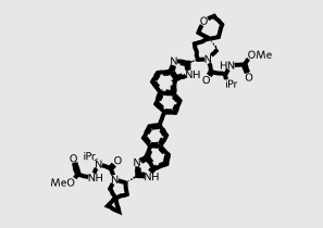 COC(=O)NC(C(=O)N1C[C@]2(CCCOC2)C[C@H]1c1nc2ccc3cc(-c4ccc5c(ccc6[nH]c([C@@H]7CC8(CC8)CN7C(=O)N(NC(=O)OC)C(C)C)nc65)c4)ccc3c2[nH]1)C(C)C